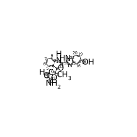 CC(C)(Cc1ccccc1NC(=O)c1cc2cc(O)ccc2[nH]1)OC(N)=O